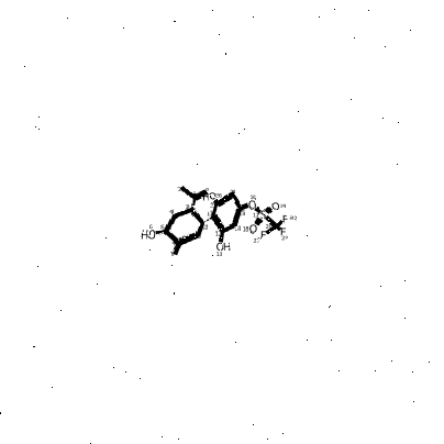 C=C(C)[C@@H]1C[C@H](O)C(C)=C[C@H]1c1c(O)cc(OS(=O)(=O)C(F)(F)F)cc1O